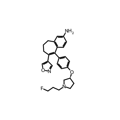 Nc1ccc2c(c1)CCCC(c1cnoc1)=C2c1ccc(O[C@H]2CCN(CCCF)C2)cc1